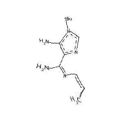 C/C=C\N=C(\N)c1ncn(C(C)(C)C)c1N